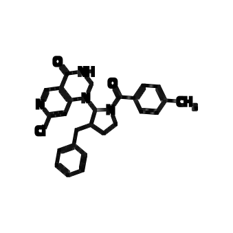 Cc1ccc(C(=O)N2CCC(Cc3ccccc3)C2N2CNC(=O)c3cnc(Cl)cc32)cc1